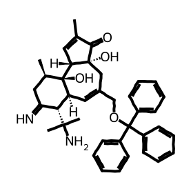 CC1=C[C@H]2[C@@]3(O)[C@H](C)CC(=N)[C@@H](C(C)(C)N)[C@@H]3C=C(COC(c3ccccc3)(c3ccccc3)c3ccccc3)C[C@]2(O)C1=O